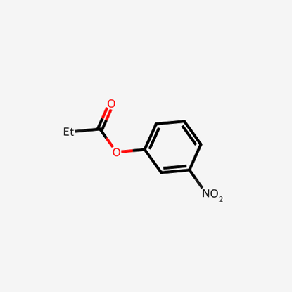 CCC(=O)Oc1cccc([N+](=O)[O-])c1